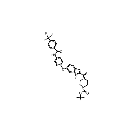 Cn1c(C(=O)N2CCN(C(=O)OC(C)(C)C)CC2)cc2ccc(Oc3ccc(NC(=O)c4ccc(C(F)(F)F)cc4)cn3)cc21